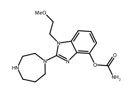 COCCn1c(N2CCCNCC2)nc2c(OC(N)=O)cccc21